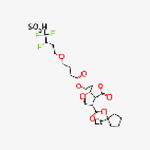 CCC1(OC(=O)C2C3OC4C(OC(=O)C42)C3OC(=O)CCCOCCC(F)C(F)(F)S(=O)(=O)O)CCCC1